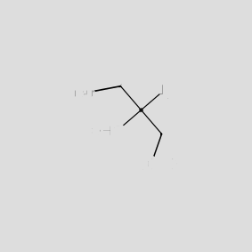 CCC(C)CC([C]=O)(CC)CC=O